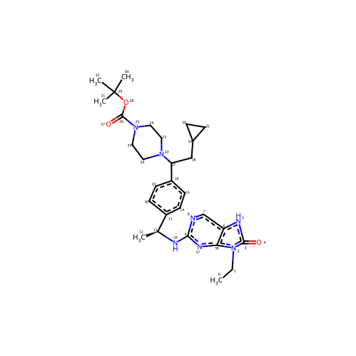 CCn1c(=O)[nH]c2cnc(N[C@@H](C)c3ccc(C(CC4CC4)N4CCN(C(=O)OC(C)(C)C)CC4)cc3)nc21